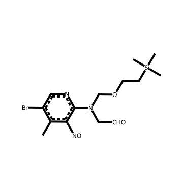 Cc1c(Br)cnc(N(CC=O)COCC[Si](C)(C)C)c1N=O